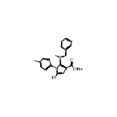 CCc1cc(C(=O)OC)c(N(C)Cc2ccccc2)n1-c1ccc(C)cc1